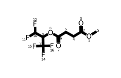 COC(=O)CCC(=O)OC(C(F)F)C(F)(F)F